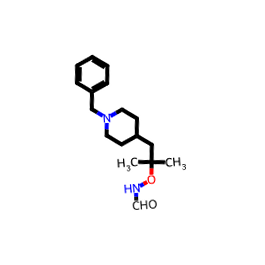 CC(C)(CC1CCN(Cc2ccccc2)CC1)ONC=O